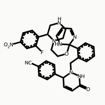 N#Cc1ccc(C2C=CC(=O)NN2Cc2ccccc2C2(OCCN3CCNCC3c3ccc([N+](=O)[O-])cc3F)N=CC=CN2)cc1